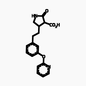 O=C(O)C1C(=O)NCC1CCc1cccc(Oc2ccccn2)c1